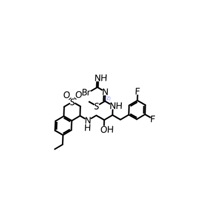 CCc1ccc2c(c1)C(NCC(O)C(Cc1cc(F)cc(F)c1)N/C(=N/C(=N)Br)SC)CS(=O)(=O)C2